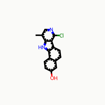 Cc1cnc(Cl)c2c1[nH]c1c3ccc(O)cc3ccc12